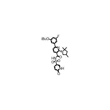 CC(C)COc1cc(F)cc(-c2ccc(C(=O)NS(=O)(=O)c3ccc(=O)[nH]c3)c(N3CC(C)CC3(C)C)n2)c1